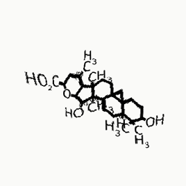 C[C@@H]1CC(C(=O)O)OC2C1C1(C)CCC34CC35CCC(O)C(C)(C)[C@@H]5CCC4[C@]1(C)[C@H]2O